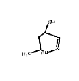 CC1CC(C(C)(C)C)C=NN1